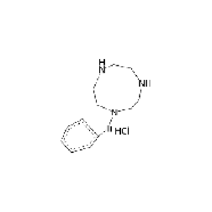 Cl.c1cc[c]([Ti][N]2CCNCCNCC2)cc1